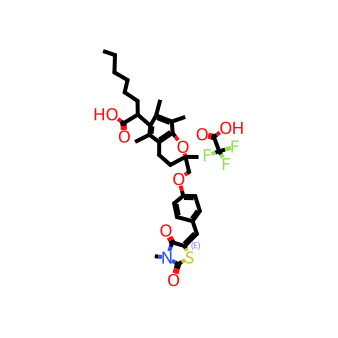 CCCCCCC(C(=O)O)c1c(C)c(C)c2c(c1C)CCC(C)(COc1ccc(/C=C3/SC(=O)N(C)C3=O)cc1)O2.O=C(O)C(F)(F)F